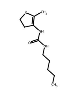 CCCCCNC(=O)NC1=C(C)SCC1